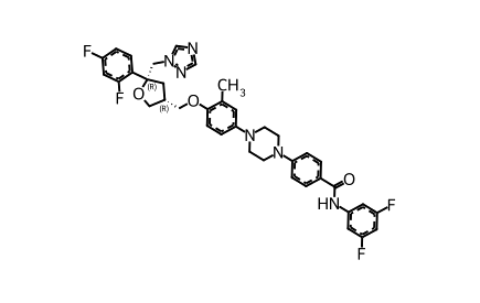 Cc1cc(N2CCN(c3ccc(C(=O)Nc4cc(F)cc(F)c4)cc3)CC2)ccc1OC[C@@H]1CO[C@@](Cn2cncn2)(c2ccc(F)cc2F)C1